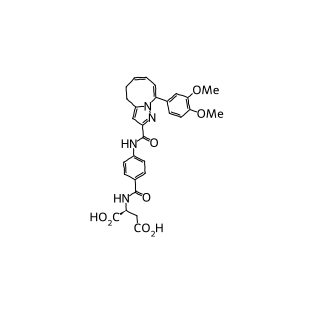 COc1ccc(/C2=C/C=C\CCc3cc(C(=O)Nc4ccc(C(=O)N[C@@H](CC(=O)O)C(=O)O)cc4)nn32)cc1OC